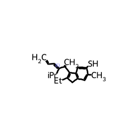 C=C/C=C(/C(=C)C1=C(CC)Cc2cc(C)c(S)cc21)C(C)C